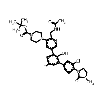 CC(=O)NCc1ncc(-c2cc(F)cc(-c3ccc(N4CCN(C)C4=O)c(Cl)c3)c2O)cc1N1CCN(C(=O)OC(C)(C)C)CC1